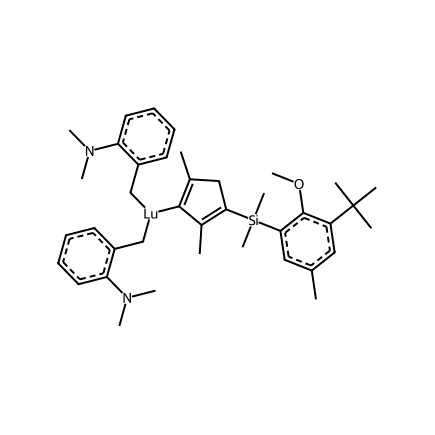 COc1c(C(C)(C)C)cc(C)cc1[Si](C)(C)C1=C(C)[C]([Lu]([CH2]c2ccccc2N(C)C)[CH2]c2ccccc2N(C)C)=C(C)C1